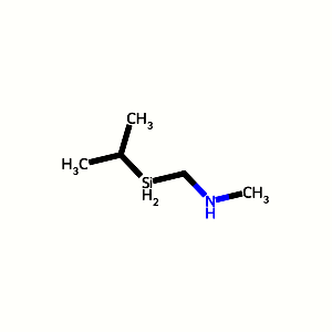 CNC[SiH2]C(C)C